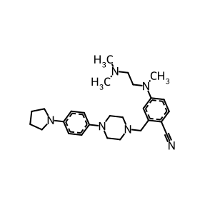 CN(C)CCN(C)c1ccc(C#N)c(CN2CCN(c3ccc(N4CCCC4)cc3)CC2)c1